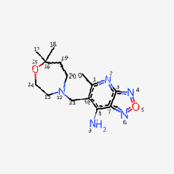 Cc1nc2nonc2c(N)c1CN1CCOC(C)(C)CC1